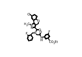 CCOC(=O)c1cc(F)cc(NC(=O)CN(Cc2ccccc2F)C(=O)c2nn(C)c3c2COc2ccc(Cl)cc2-3)c1